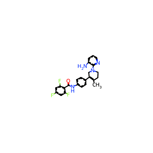 CC1=C(c2ccc(NC(=O)c3c(F)cc(F)cc3F)cc2)CN(c2ncccc2N)CC1